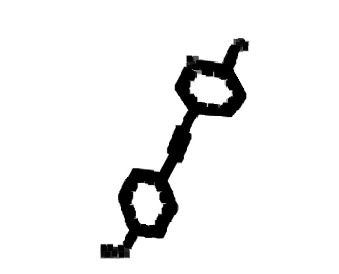 CNc1ccc(C#Cc2ccc(C(C)C)nc2)cc1